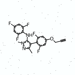 C#CCOc1cc(F)c(-c2c(C)nn(C)c2Nc2c(F)cc(F)cc2F)c(F)c1